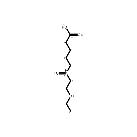 CCOCC[PH](=O)CCCCC(=O)O